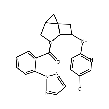 O=C(c1ccccc1-n1nccn1)N1CC2CC23CC(Nc2ccc(Cl)cn2)C13